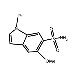 COc1cc2ccn(C(C)C)c2cc1S(N)(=O)=O